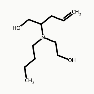 C=CCC(CO)N(CCO)CCCC